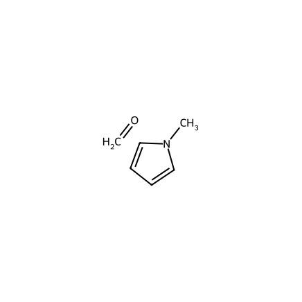 C=O.Cn1cccc1